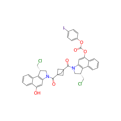 O=C(Oc1ccc(I)cc1)Oc1cc2c(c3ccccc13)[C@H](CCl)CN2C(=O)C12CC(C(=O)N3C[C@@H](CCl)c4c3cc(O)c3ccccc43)(C1)C2